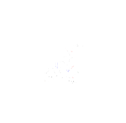 COC(=O)[C@H]1Cc2c([nH]c3ccc(Br)cc23)[C@H](c2ccc(C(=O)OCC3CC3)cc2)N1C(=O)CCl